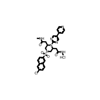 CNC(=O)CC1CN(S(=O)(=O)c2ccc3cc(Cl)ccc3c2)CC(CC(=O)NC)N1c1ncc(-c2ccncc2)cn1.Cl